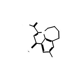 COC(=O)C1=CC(=C=O)c2cc(F)cc3c2N1CCCC3